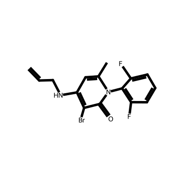 C=CCNc1cc(C)n(-c2c(F)cccc2F)c(=O)c1Br